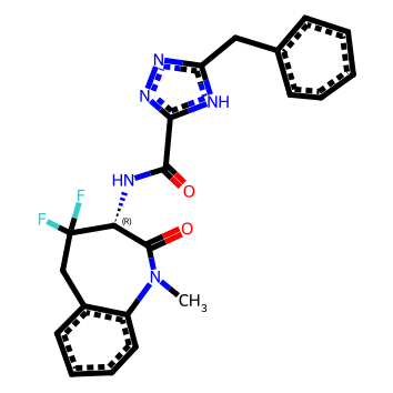 CN1C(=O)[C@@H](NC(=O)c2nnc(Cc3ccccc3)[nH]2)C(F)(F)Cc2ccccc21